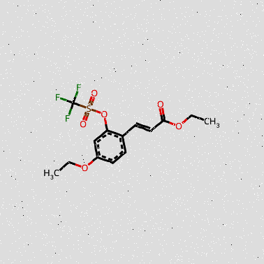 CCOC(=O)/C=C/c1ccc(OCC)cc1OS(=O)(=O)C(F)(F)F